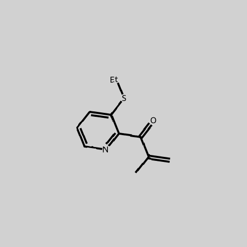 C=C(C)C(=O)c1ncccc1SCC